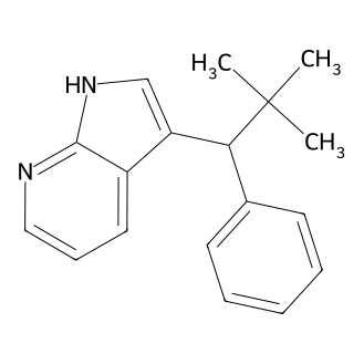 CC(C)(C)C(c1ccccc1)c1c[nH]c2ncccc12